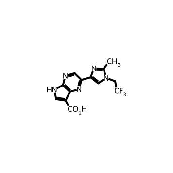 Cc1nc(-c2cnc3[nH]cc(C(=O)O)c3n2)cn1CC(F)(F)F